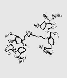 COc1cc(CCN(C)CCCCCSc2cc(-c3scnc3C)ccc2[C@H](C)NC(=O)[C@@H]2C[C@@H](O)CN2C(=O)[C@@H](NC(C)=O)C(C)(C)C)c(C)cc1Nc1ncc(Cl)c(Nc2ccccc2S(=O)(=O)C(C)C)n1